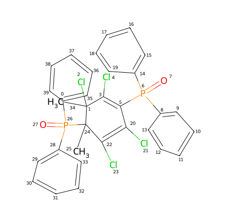 CC1(Cl)C(Cl)=C(P(=O)(c2ccccc2)c2ccccc2)C(Cl)=C(Cl)C1(C)P(=O)(c1ccccc1)c1ccccc1